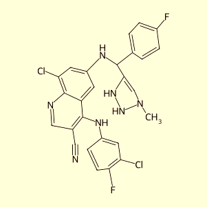 CN1C=C(C(Nc2cc(Cl)c3ncc(C#N)c(Nc4ccc(F)c(Cl)c4)c3c2)c2ccc(F)cc2)NN1